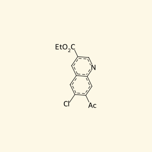 CCOC(=O)c1cnc2cc(C(C)=O)c(Cl)cc2c1